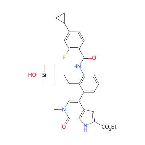 CCOC(=O)c1cc2c(-c3cccc(NC(=O)c4ccc(C5CC5)cc4F)c3CCC(C)(C)[Si](C)(C)O)cn(C)c(=O)c2[nH]1